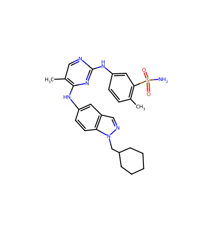 Cc1ccc(Nc2ncc(C)c(Nc3ccc4c(cnn4CC4CCCCC4)c3)n2)cc1S(N)(=O)=O